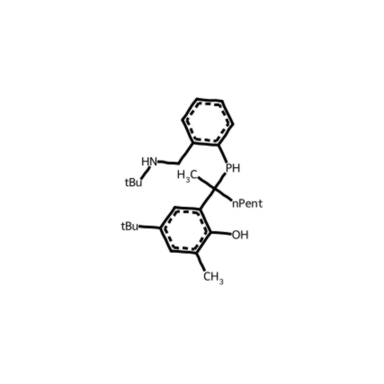 CCCCCC(C)(Pc1ccccc1CNC(C)(C)C)c1cc(C(C)(C)C)cc(C)c1O